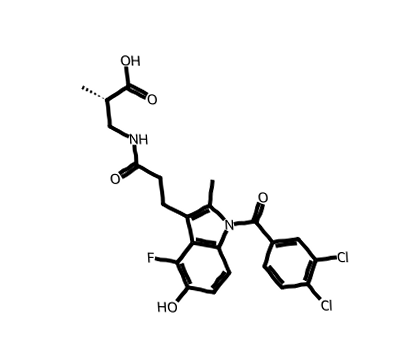 Cc1c(CCC(=O)NC[C@H](C)C(=O)O)c2c(F)c(O)ccc2n1C(=O)c1ccc(Cl)c(Cl)c1